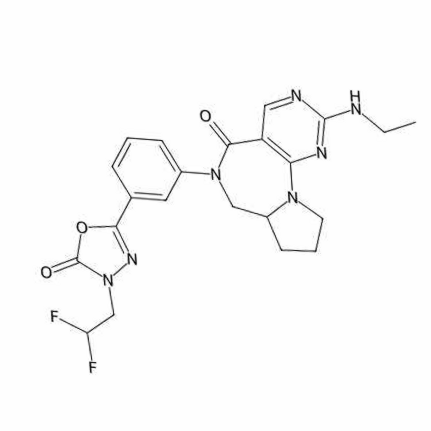 CCNc1ncc2c(n1)N1CCCC1CN(c1cccc(-c3nn(CC(F)F)c(=O)o3)c1)C2=O